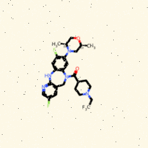 C[C@H]1CN(c2cc3c(cc2F)Nc2ncc(F)cc2CN3C(=O)C2CCN(CC(F)(F)F)CC2)[C@@H](C)CO1